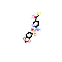 O=C(CS)c1ccc(NS(=O)(=O)c2ccc3c(c2)OCO3)nc1